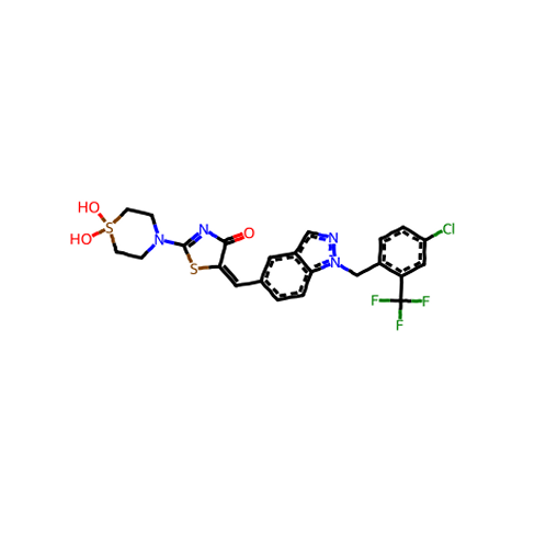 O=C1N=C(N2CCS(O)(O)CC2)SC1=Cc1ccc2c(cnn2Cc2ccc(Cl)cc2C(F)(F)F)c1